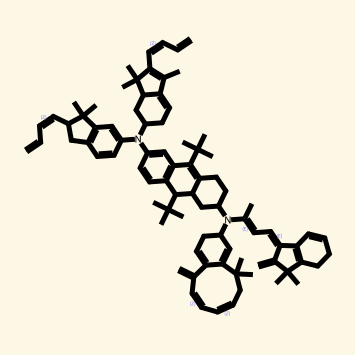 C=C/C=C\C1=C(C)C2=CCC(N(c3ccc4c(c3)C(C(C)(C)C)=C3CCC(N(/C(C)=C/C=C5\C(=C)C(C)(C)C6=C5C=CCC6)C5C=C6C(=CC5)C(=C)/C=C\C=C/CC6(C)C)CC3C4C(C)(C)C)c3ccc4c(c3)C(C)(C)C(/C=C\C=C)C4)CC2C1(C)C